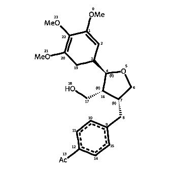 COC1=CC([C@H]2OC[C@H](Cc3ccc(C(C)=O)cc3)[C@@H]2CO)CC(OC)=C1OC